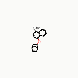 CC(=O)Oc1ccc(OC2CC3C=CC2C3)c2ccccc12